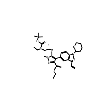 C=Cc1nn(C2CCCCO2)c2ccc(-c3c(C(=O)OCC)nn(C)c3O[C@@H](C)CN(CC)C(=O)OC(C)(C)C)cc12